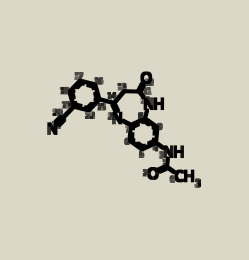 CC(=O)Nc1ccc2c(c1)NC(=O)CC(c1cccc(C#N)c1)=N2